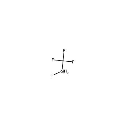 F[SiH2]C(F)(F)F